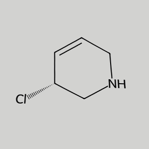 Cl[C@@H]1C=CCNC1